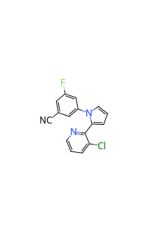 N#Cc1cc(F)cc(-n2cccc2-c2ncccc2Cl)c1